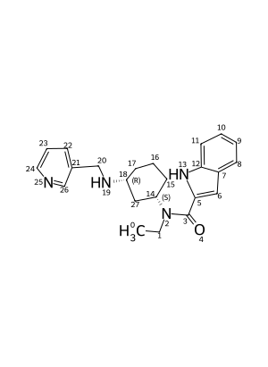 CCN(C(=O)c1cc2ccccc2[nH]1)[C@H]1CCC[C@@H](NCc2cccnc2)C1